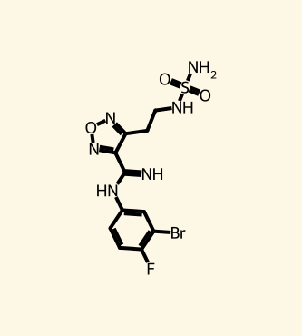 N=C(Nc1ccc(F)c(Br)c1)c1nonc1CCNS(N)(=O)=O